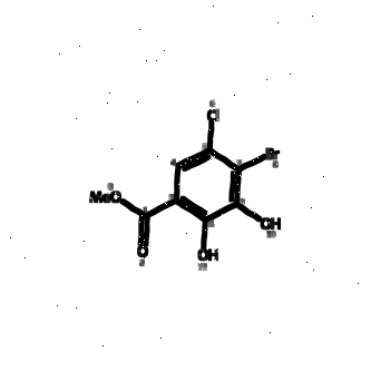 COC(=O)c1cc(Cl)c(Br)c(O)c1O